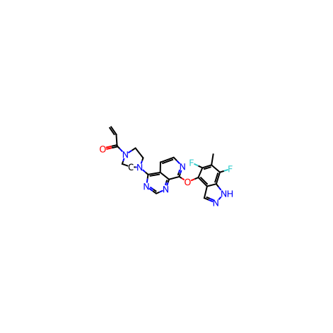 C=CC(=O)N1CCN(c2ncnc3c(Oc4c(F)c(C)c(F)c5[nH]ncc45)nccc23)CC1